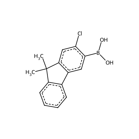 CC1(C)c2ccccc2-c2cc(B(O)O)c(Cl)cc21